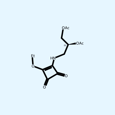 CCOc1c(NC[C@@H](COC(C)=O)OC(C)=O)c(=O)c1=O